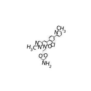 Cc1cccc(-c2ccc(-c3cc4cnc(C)nc4n(CC[C@H]4OC[C@H](N)CO4)c3=O)c(Cl)c2)n1